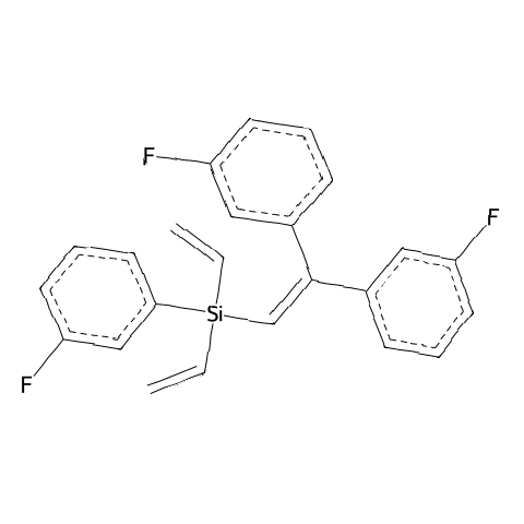 C=C[Si](C=C)(C=C(c1cccc(F)c1)c1cccc(F)c1)c1cccc(F)c1